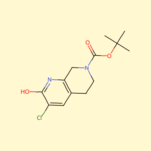 CC(C)(C)OC(=O)N1CCc2cc(Cl)c(O)nc2C1